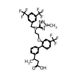 CC(CC(=O)O)c1cccc(-c2ccc(C(F)(F)F)cc2OCCN(Cc2cc(C(F)(F)F)cc(C(F)(F)F)c2)c2nnn(C)n2)c1